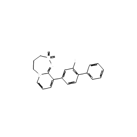 O=S1(=O)CCCN2C=CC=C(c3ccc(-c4ccccc4)c(F)c3)C2=N1